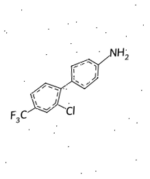 Nc1ccc(-c2ccc(C(F)(F)F)cc2Cl)cc1